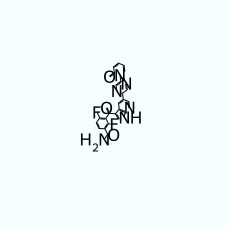 NC(=O)c1ccc(F)c(C(=O)c2c[nH]c3ncc(-c4cnc(-n5ccccc5=O)cn4)cc23)c1F